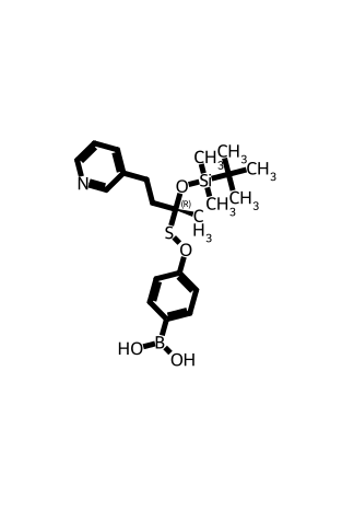 CC(C)(C)[Si](C)(C)O[C@@](C)(CCc1cccnc1)SOc1ccc(B(O)O)cc1